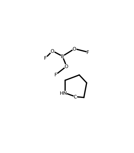 C1CCNCC1.FOB(OF)OF